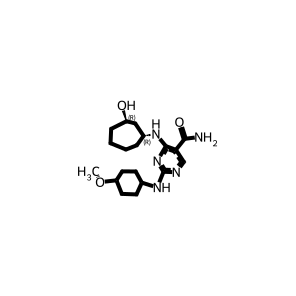 COC1CCC(Nc2ncc(C(N)=O)c(N[C@@H]3CCCC[C@@H](O)C3)n2)CC1